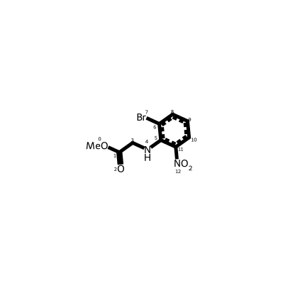 COC(=O)CNc1c(Br)cccc1[N+](=O)[O-]